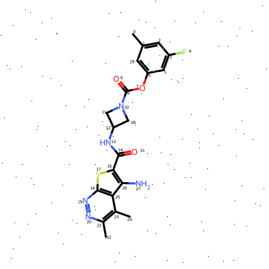 Cc1cc(F)cc(OC(=O)N2CC(NC(=O)c3sc4nnc(C)c(C)c4c3N)C2)c1